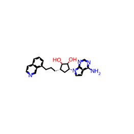 Nc1ncnc2c1ccn2[C@@H]1C[C@H](CCCc2cccc3ccncc23)[C@@H](O)[C@H]1O